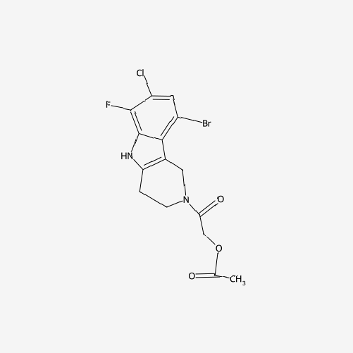 CC(=O)OCC(=O)N1CCc2[nH]c3c(F)c(Cl)cc(Br)c3c2C1